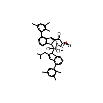 Cc1cc(C)c(C)c(-c2cccc3c2C=C(CC(C)C)[CH]3[Hf]([Cl])([Cl])([B](NC=O)NC=O)[CH]2C(CC(C)C)=Cc3c(-c4cc(C)cc(C)c4C)cccc32)c1